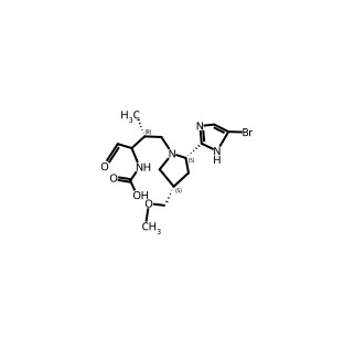 COC[C@H]1C[C@@H](c2ncc(Br)[nH]2)N(C[C@@H](C)C(C=O)NC(=O)O)C1